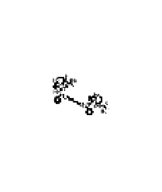 CN[C@@H](C)C(=S)N[C@H]1CCS[C@H]2CC(C)(C)[C@@H](C(=O)N[C@H](COCCCCCCOC[C@@H](NC(=O)[C@H]3N4C(=O)[C@@H](NC(=S)[C@H](C)NC)CCS[C@H]4CC3(C)C)c3ccccc3)c3ccccc3)N2C1=O